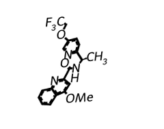 COc1cc(C(=O)N[C@H](C)c2ccc(OCC(F)(F)F)cn2)nc2ccccc12